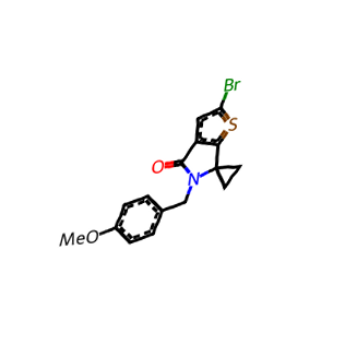 COc1ccc(CN2C(=O)c3cc(Br)sc3C23CC3)cc1